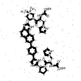 COC(=O)N[C@@H](Cn1cccn1)C(=O)N1CCC[C@H]1c1ncc(-c2ccc(-c3ccc4c(ccc5nc([C@@H]6C[Si](C)(C)CN6C(=O)[C@H](Cn6cccn6)NC(=O)OC)[nH]c54)c3)cc2)[nH]1